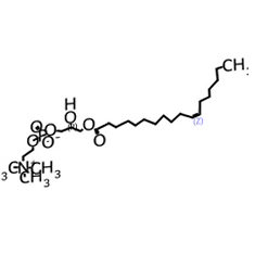 CCCCCC/C=C\CCCCCCCCCC(=O)OC[C@@H](O)COP(=O)([O-])OCC[N+](C)(C)C